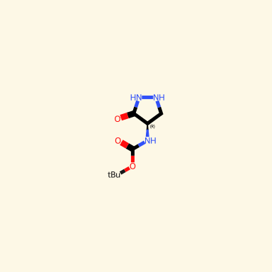 CC(C)(C)OC(=O)N[C@@H]1CNNC1=O